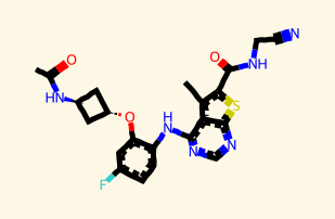 CC(=O)N[C@H]1C[C@H](Oc2cc(F)ccc2Nc2ncnc3sc(C(=O)NCC#N)c(C)c23)C1